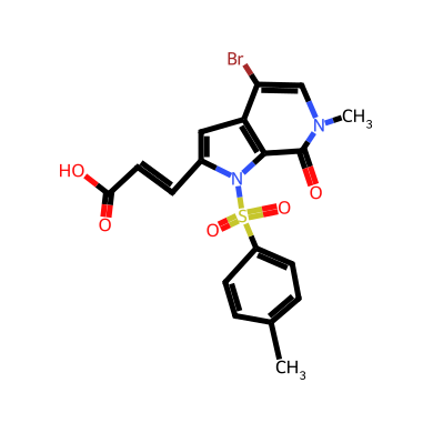 Cc1ccc(S(=O)(=O)n2c(C=CC(=O)O)cc3c(Br)cn(C)c(=O)c32)cc1